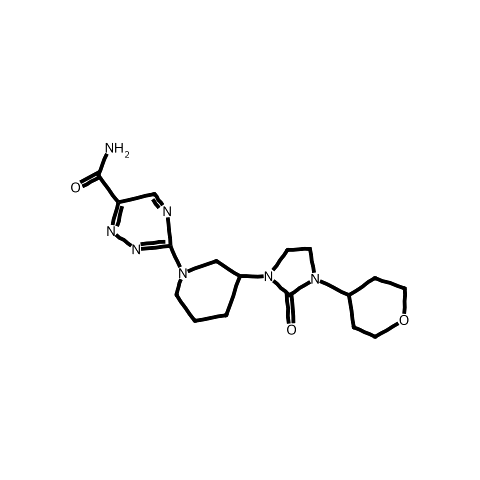 NC(=O)c1cnc(N2CCCC(N3CCN(C4CCOCC4)C3=O)C2)nn1